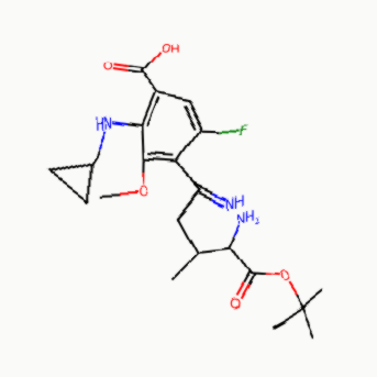 COc1c(NC2CC2)c(C(=O)O)cc(F)c1C(=N)CC(C)C(N)C(=O)OC(C)(C)C